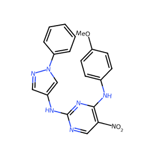 COc1ccc(Nc2nc(Nc3cnn(-c4ccccc4)c3)ncc2[N+](=O)[O-])cc1